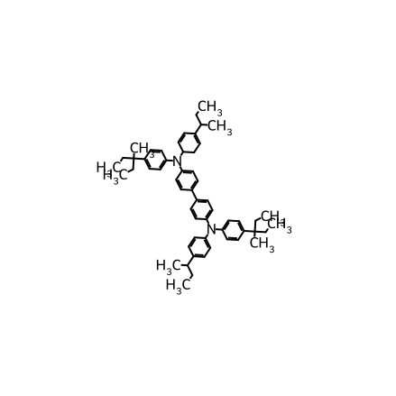 CCC(C)C1=CCC(N(c2ccc(-c3ccc(N(c4ccc(C(C)CC)cc4)c4ccc(C(C)(CC)CC)cc4)cc3)cc2)c2ccc(C(C)(CC)CC)cc2)C=C1